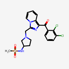 CS(=O)(=O)NC1CCN(Cc2nc(C(=O)c3cccc(Cl)c3Cl)c3ccccn23)C1